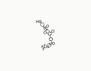 O=C(c1ccc(-c2cc(Cl)c(C[C@@H]3CCN([C@H]4CC[C@H](O)CC4)C3=O)c(Cl)c2)cc1)N1CCN(CC(F)(F)F)CC1